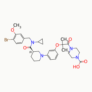 COc1cc(CN(C(=O)[C@@H]2CCCN(c3cccc(OC(C)(C)C(=O)N4CCN(C(=O)O)CC4)c3)C2)C2CC2)ccc1Br